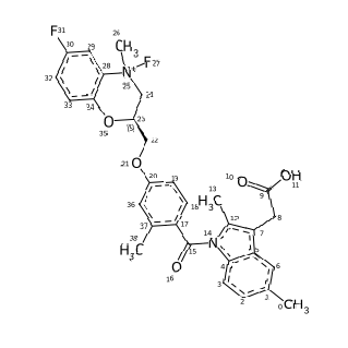 Cc1ccc2c(c1)c(CC(=O)O)c(C)n2C(=O)c1ccc(OC[C@@H]2C[N+](C)(F)c3cc(F)ccc3O2)cc1C